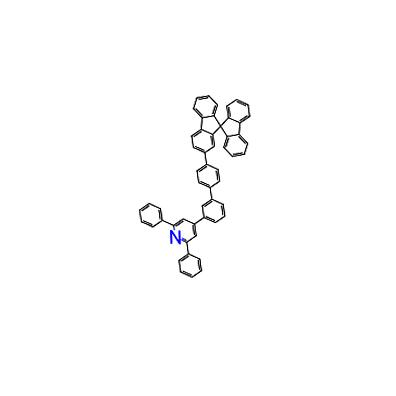 c1ccc(-c2cc(-c3cccc(-c4ccc(-c5ccc6c(c5)C5(c7ccccc7-c7ccccc75)c5ccccc5-6)cc4)c3)cc(-c3ccccc3)n2)cc1